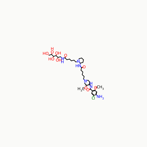 COc1cc(N)c(Cl)cc1C(=O)N[C@@H]1CCN(CCCCCC(=O)NC2CCCCN2CCCCCC(=O)NCC(O)C(O)C(O)C(O)CO)C[C@@H]1OC